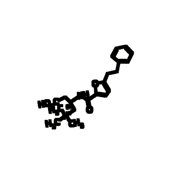 C[N+](C)(C)C[C@@H](CC(=O)O)NC(=O)c1ccc(CCc2ccccc2)o1